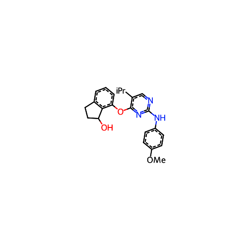 COc1ccc(Nc2ncc(C(C)C)c(Oc3cccc4c3C(O)CC4)n2)cc1